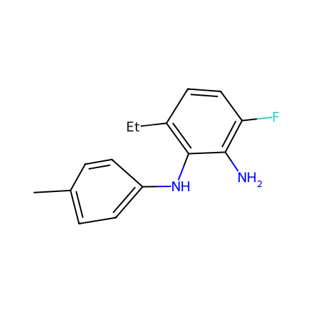 CCc1ccc(F)c(N)c1Nc1ccc(C)cc1